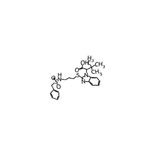 CC(C)(C)C(C(=O)O)n1c(SCCCNS(=O)(=O)Cc2ccccc2)nc2ccccc21